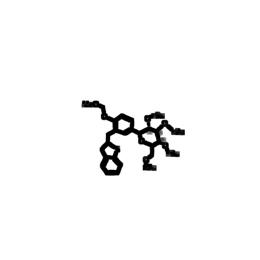 CCCCOCC1OC(c2ccc(OCOC)c(CC3Cc4ccccc4S3)c2)[C@H](OCCCC)[C@@H](OCCCC)[C@@H]1OCCCC